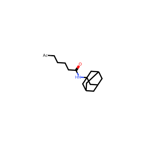 CC(=O)CCCCC(=O)NC12CC3CC(CC(C3)C1)C2